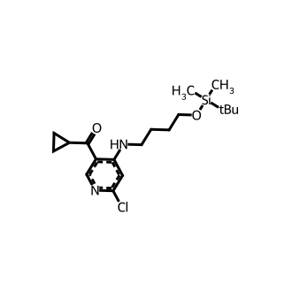 CC(C)(C)[Si](C)(C)OCCCCNc1cc(Cl)ncc1C(=O)C1CC1